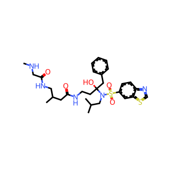 CNCC(=O)NCC(C)CC(=O)NCCC(O)(Cc1ccccc1)N(CC(C)C)S(=O)(=O)c1ccc2ncsc2c1